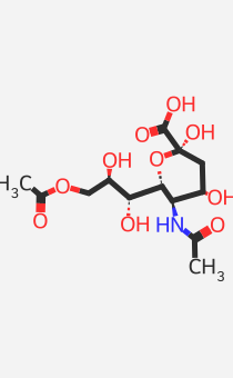 CC(=O)N[C@H]1[C@H]([C@H](O)[C@H](O)COC(C)=O)O[C@@](O)(C(=O)O)C[C@@H]1O